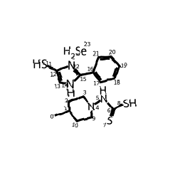 CC1CCN(NC(=S)S)CC1.Sc1c[nH]c(-c2ccccc2)n1.[SeH2]